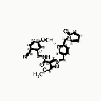 COCc1nn(Cc2ccc(Cn3ccccc3=O)nc2)cc1C(=O)NCc1cc(OC)ccc1C#N